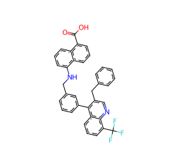 O=C(O)c1cccc2c(NCc3cccc(-c4c(Cc5ccccc5)cnc5c(C(F)(F)F)cccc45)c3)cccc12